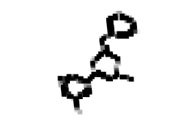 Cc1cncc(C2=CC(C)CN(Cc3ccccc3)C2)c1